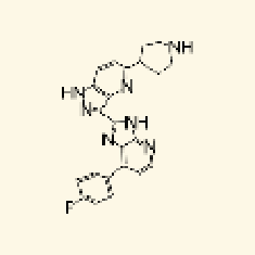 Fc1ccc(-c2ccnc3[nH]c(-c4n[nH]c5ccc(C6CCNCC6)nc45)nc23)cc1